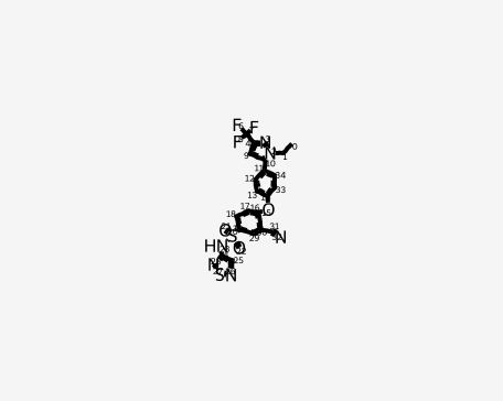 CCn1nc(C(F)(F)F)cc1-c1ccc(Oc2ccc(S(=O)(=O)Nc3cnsn3)cc2C#N)cc1